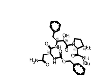 CC[C@H]1CCN(C(=O)[C@@H](O)[C@H](Cc2ccccc2)NC(=O)[C@H](CC(N)=O)NC(=O)OCc2ccccc2)[C@@H]1C(=O)NC(C)(C)C